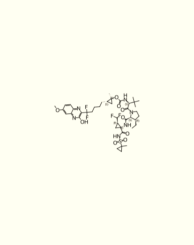 CC[C@@H]1CCN(C(=O)[C@@H](NC(=O)O[C@@]2(C)C[C@@H]2CCCCC(F)(F)c2nc3ccc(OC)cc3nc2O)C(C)(C)C)[C@@H]1C(=O)N[C@]1(C(=O)NS(=O)(=O)C2(C)CC2)C[C@H]1C(F)F